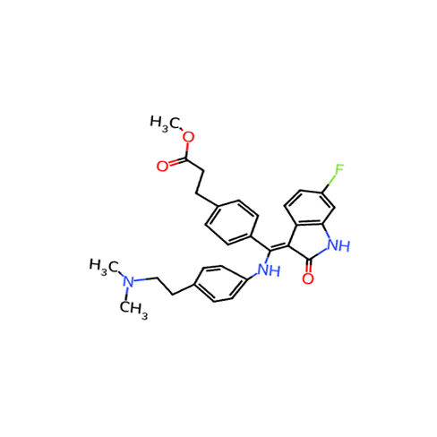 COC(=O)CCc1ccc(/C(Nc2ccc(CCN(C)C)cc2)=C2/C(=O)Nc3cc(F)ccc32)cc1